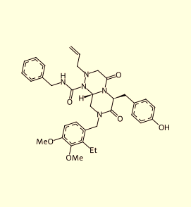 C=CCN1CC(=O)N2[C@@H](Cc3ccc(O)cc3)C(=O)N(Cc3ccc(OC)c(OC)c3CC)C[C@@H]2N1C(=O)NCc1ccccc1